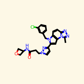 Cc1nnc2ccc3c(cc(-c4ccn(CCC(=O)NC5COC5)n4)n3Cc3cccc(Cl)c3)n12